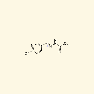 COC(=O)N/N=C/c1ccc(Cl)nc1